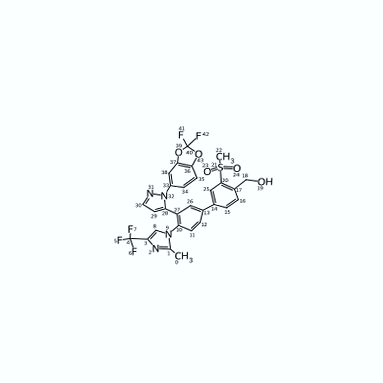 Cc1nc(C(F)(F)F)cn1-c1ccc(-c2ccc(CO)c(S(C)(=O)=O)c2)cc1-c1ccnn1-c1ccc2c(c1)OC(F)(F)O2